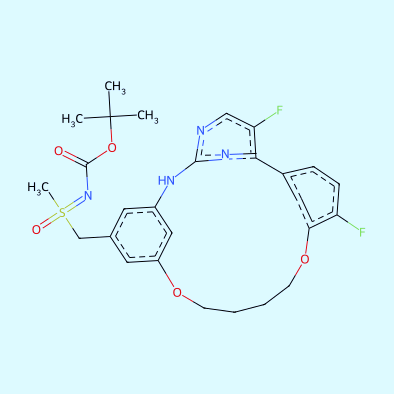 CC(C)(C)OC(=O)N=S(C)(=O)Cc1cc2cc(c1)OCCCCOc1cc(ccc1F)-c1nc(ncc1F)N2